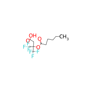 CCCCCC(=O)OC(CC(=O)O)(C(F)(F)F)C(F)(F)F